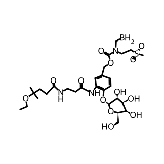 BCN(CCS(C)(=O)=O)C(=O)OCc1ccc(O[C@@H]2O[C@H](CO)[C@H](O)[C@H](O)[C@H]2O)c(NC(=O)CCNC(=O)CCC(C)(C)OCC)c1